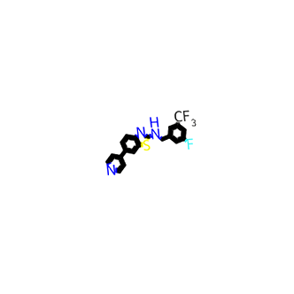 Fc1cc(CNc2nc3ccc(-c4ccncc4)cc3s2)cc(C(F)(F)F)c1